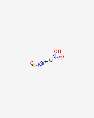 CC(=O)SCC[n+]1ccc(/C=C/c2ccc(N(CCO)CCN=O)cc2)cc1